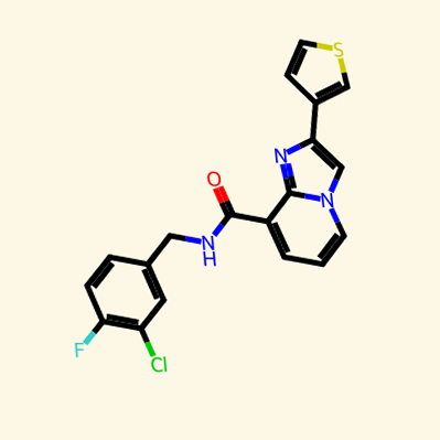 O=C(NCc1ccc(F)c(Cl)c1)c1cccn2cc(-c3ccsc3)nc12